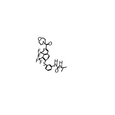 CC(C)NC(=O)Nc1cccc(Sc2ccc(/C=C/C(=O)N3CCOCC3)c(C(F)(F)F)c2C(F)(F)F)c1